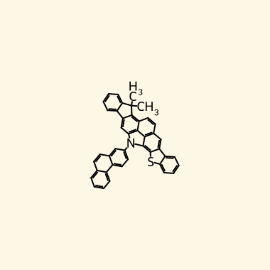 CC1(C)c2ccccc2-c2cc3c4c(ccc5cc6c7ccccc7sc6c(c54)n3-c3ccc4c(ccc5ccccc54)c3)c21